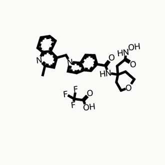 Cc1cc(Cn2ccc3cc(C(=O)NC4(CC(=O)NO)CCOCC4)ccc32)c2ccccc2n1.O=C(O)C(F)(F)F